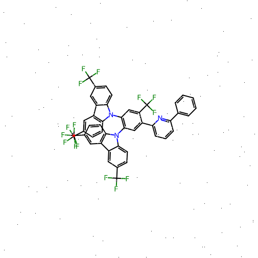 FC(F)(F)c1ccc2c(c1)c1cc(C(F)(F)F)ccc1n2-c1cc(-c2cccc(-c3ccccc3)n2)c(C(F)(F)F)cc1-n1c2ccc(C(F)(F)F)cc2c2cc(C(F)(F)F)ccc21